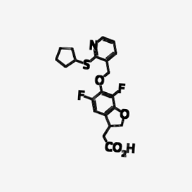 O=C(O)CC1COc2c1cc(F)c(OCc1cccnc1SC1CCCC1)c2F